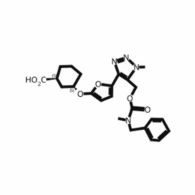 CN(Cc1ccccc1)C(=O)OCc1c(-c2ccc(O[C@H]3CCC[C@H](C(=O)O)C3)o2)nnn1C